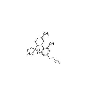 CCCc1cc(O)c([C@@H]2C=C(C)CCC2C(C)(I)CI)c(O)c1